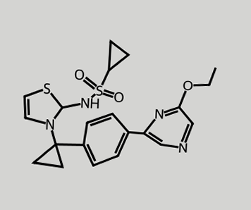 CCOc1cncc(-c2ccc(C3(N4C=CSC4NS(=O)(=O)C4CC4)CC3)cc2)n1